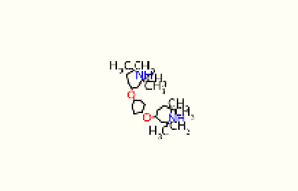 CC1(C)CCC(OC2CCC(OC3CCC(C)(C)NC(C)(C)C3)CC2)CC(C)(C)N1